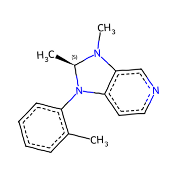 Cc1ccccc1N1c2ccncc2N(C)[C@@H]1C